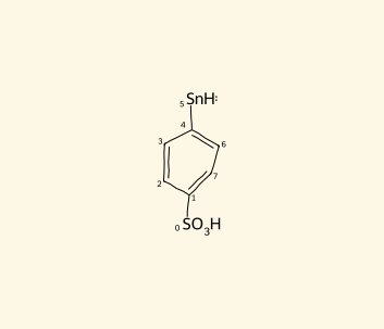 O=S(=O)(O)c1cc[c]([SnH])cc1